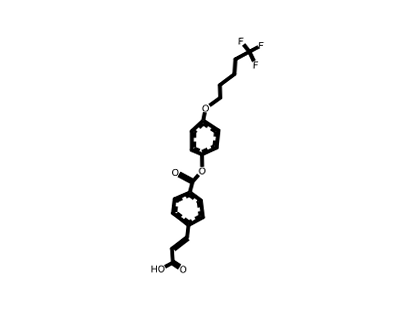 O=C(O)/C=C/c1ccc(C(=O)Oc2ccc(OCCCCC(F)(F)F)cc2)cc1